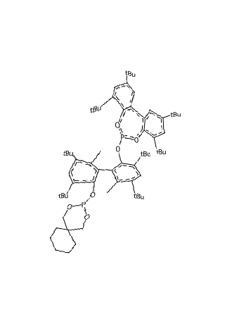 Cc1c(C(C)(C)C)cc(C(C)(C)C)c(OP2OCC3(CCCCC3)CO2)c1-c1c(C)c(C(C)(C)C)cc(C(C)(C)C)c1Op1oc2c(C(C)(C)C)cc(C(C)(C)C)cc2c2cc(C(C)(C)C)cc(C(C)(C)C)c2o1